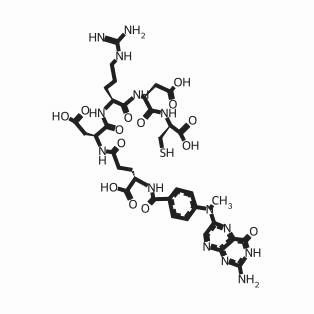 CN(c1ccc(C(=O)N[C@@H](CCC(=O)N[C@@H](CC(=O)O)C(=O)N[C@@H](CCCNC(=N)N)C(=O)N[C@@H](CC(=O)O)C(=O)N[C@H](CS)C(=O)O)C(=O)O)cc1)c1cnc2nc(N)[nH]c(=O)c2n1